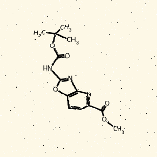 COC(=O)c1ccc2oc(NC(=O)OC(C)(C)C)nc2n1